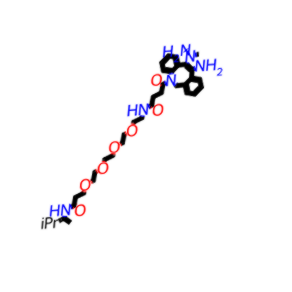 CC(C)C(C)NC(=O)CCOCCOCCOCCOCCNC(=O)CCC(=O)N1Cc2ccccc2/C(N)=C(/N(C)N)c2ccccc21